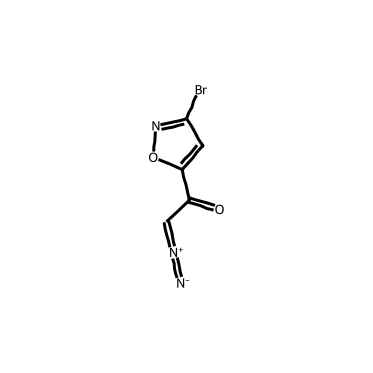 [N-]=[N+]=CC(=O)c1cc(Br)no1